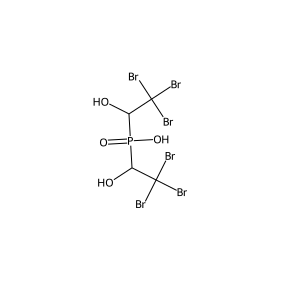 O=P(O)(C(O)C(Br)(Br)Br)C(O)C(Br)(Br)Br